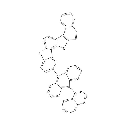 c1ccc2c(-c3c4ccccc4c(-c4ccc5oc6ccc7c(oc8ccc9ccccc9c87)c6c5c4)c4ccccc34)cccc2c1